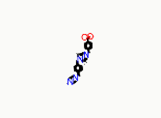 COC(=O)c1ccc(CN2C[C@@H](C)N(Cc3ccc(CN4CCN(C)CC4)cc3)[C@@H](C)C2)cc1